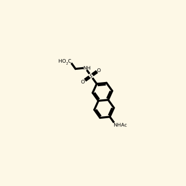 CC(=O)Nc1ccc2cc(S(=O)(=O)NCC(=O)O)ccc2c1